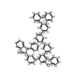 c1ccc(N2c3ccccc3NC2c2cccc(-c3cc(-c4cccc(-c5cccc(-c6ccc7c8ccccc8c8ccccc8c7c6)c5)c4)c4c(c3)oc3ccccc34)c2)cc1